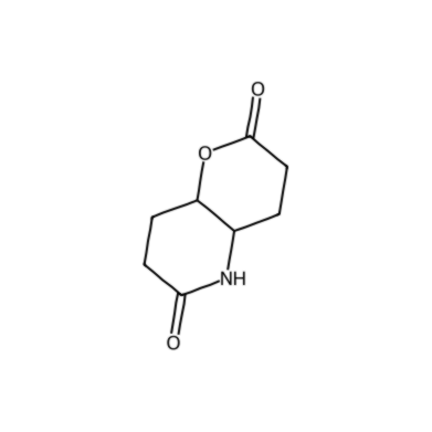 O=C1CCC2OC(=O)CCC2N1